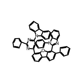 c1ccc(-c2nc(-c3cccc4c3oc3c(-c5nc6ccccc6n5-c5ccccc5)c(-c5ccccc5)ccc34)nc(-n3c4ccccc4c4ccccc43)n2)cc1